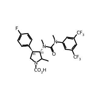 CC1[C@@H](N(C)C(=O)N(C)c2cc(C(F)(F)F)cc(C(F)(F)F)c2)[C@H](c2ccc(F)cc2)CN1C(=O)O